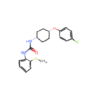 CSc1ccccc1NC(=O)N[C@H]1CC[C@@H](Oc2ccc(F)cc2)CC1